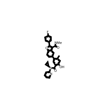 CNC(=O)c1c(-c2ccc(F)cc2)oc2ccc(-c3cc(C(=O)N(c4ccccn4)C4CC4)c(O)cc3C)cc12